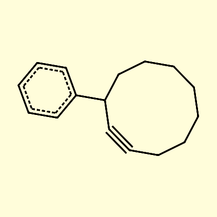 C1#CC(c2ccccc2)CCCCCCC1